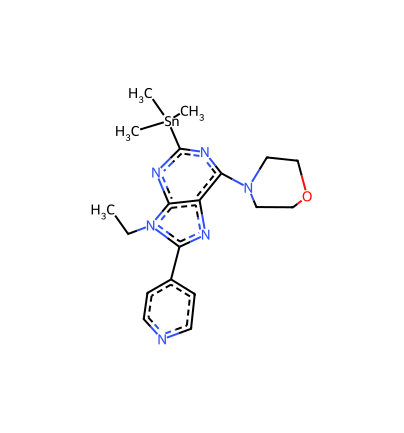 CCn1c(-c2ccncc2)nc2c(N3CCOCC3)n[c]([Sn]([CH3])([CH3])[CH3])nc21